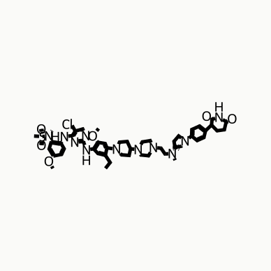 CCc1cc(Nc2ncc(Cl)c(Nc3ccc(OC)cc3N(C)S(C)(=O)=O)n2)c(OC)cc1N1CCC(N2CCN(CCN(C)[C@H]3CCN(c4ccc(C5CCC(=O)NC5=O)cc4)C3)CC2)CC1